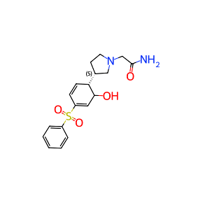 NC(=O)CN1CC[C@@H](C2C=CC(S(=O)(=O)c3ccccc3)=CC2O)C1